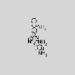 Cc1c(Sc2c(N)nc(N3CCC4(CC3)Cc3ccccc3[C@H]4N)n3ccnc23)ccnc1N